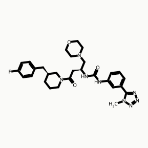 Cn1nnnc1-c1cccc(NC(=O)N[C@@H](CC(=O)N2CCC[C@@H](Cc3ccc(F)cc3)C2)CN2CCOCC2)c1